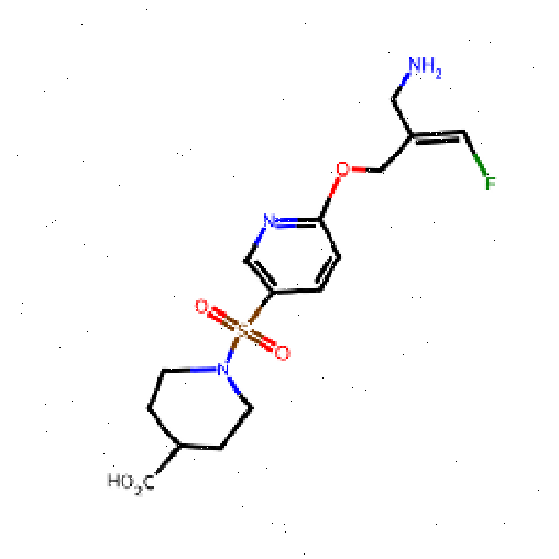 NC/C(=C/F)COc1ccc(S(=O)(=O)N2CCC(C(=O)O)CC2)cn1